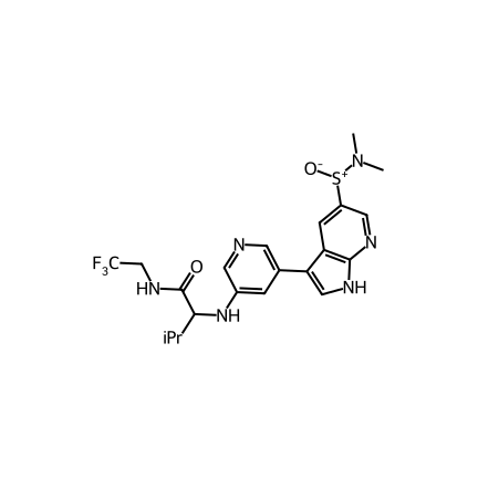 CC(C)C(Nc1cncc(-c2c[nH]c3ncc([S+]([O-])N(C)C)cc23)c1)C(=O)NCC(F)(F)F